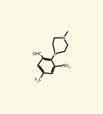 CN1CCN(c2c(C=O)cc(C(F)(F)F)cc2[N+](=O)[O-])CC1